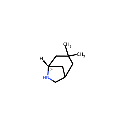 CC1(C)CC2CN[C@@H](C2)C1